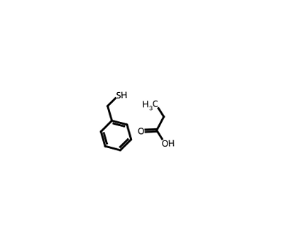 CCC(=O)O.SCc1ccccc1